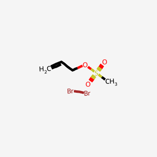 BrBr.C=CCOS(C)(=O)=O